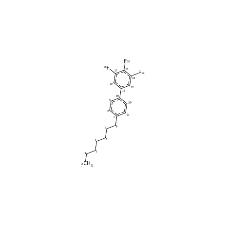 CCCCCCCc1ccc(-c2cc(F)c(F)c(F)c2)cc1